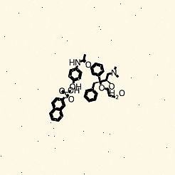 CC(=O)Nc1ccc(O)cc1.CCC(=O)O[C@](Cc1ccccc1)(c1ccccc1)[C@H](C)CN(C)C.O.O=S(=O)(O)c1ccc2ccccc2c1